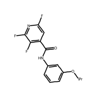 CC(C)Oc1cccc(NC(=O)c2cc(F)nc(F)c2F)c1